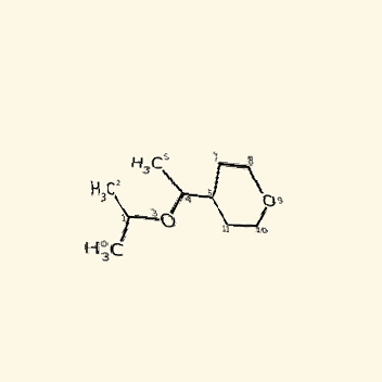 CC(C)OC(C)C1CCOCC1